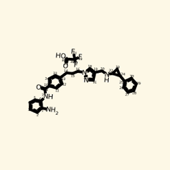 Nc1ccccc1NC(=O)c1ccc(CCCn2cc(CNC3CC3c3ccccc3)cn2)cc1.O=C(O)C(F)(F)F